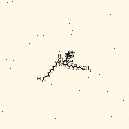 CCCCCCCCCCC(C)OC(CCCCCCCCCC)CC(O)COS(=O)(=O)O